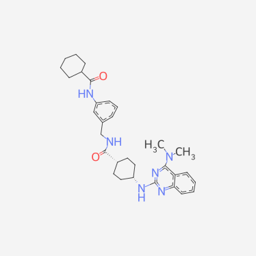 CN(C)c1nc(N[C@H]2CC[C@@H](C(=O)NCc3cccc(NC(=O)C4CCCCC4)c3)CC2)nc2ccccc12